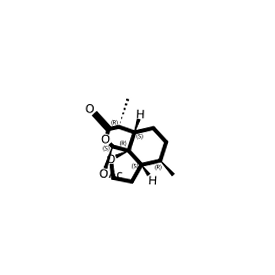 CC(=O)O[C@H]1OC(=O)[C@H](C)[C@@H]2CC[C@@H](C)[C@@H]3CCO[C@]132